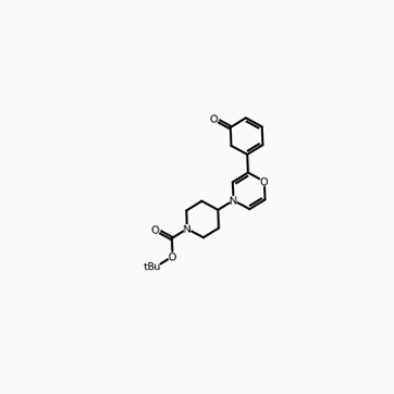 CC(C)(C)OC(=O)N1CCC(N2C=COC(C3=CC=CC(=O)C3)=C2)CC1